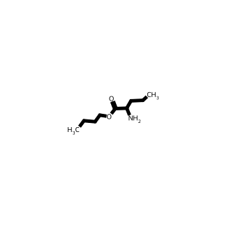 CCCCOC(=O)[C](N)CCC